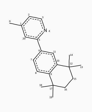 Cc1ccnc(-c2ccc3c(c2)C(C)(C)CCC3(C)C)c1